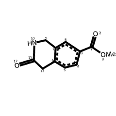 COC(=O)c1ccc2c(c1)CNC(=O)C2